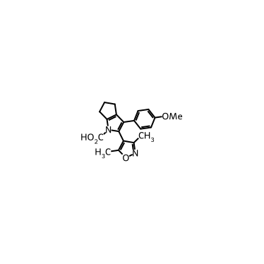 COc1ccc(-c2c3c(n(C(=O)O)c2-c2c(C)noc2C)CCC3)cc1